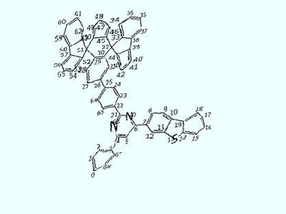 c1ccc(-c2cc(-c3ccc4c(c3)sc3ccccc34)nc(-c3ccc(-c4ccc5c(c4)C4(c6ccccc6-c6ccccc64)c4ccccc4C54c5ccccc5-c5ccccc54)cc3)n2)cc1